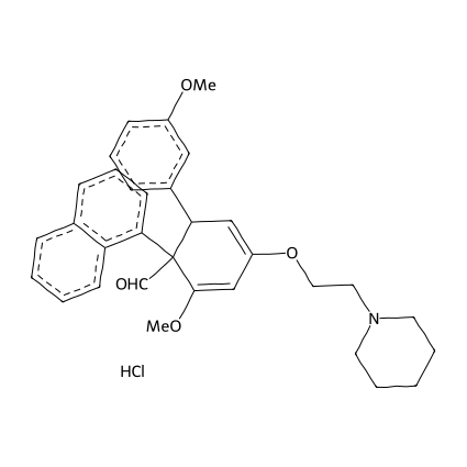 COC1=CC(OCCN2CCCCC2)=CC(c2cccc(OC)c2)C1(C=O)c1cccc2ccccc12.Cl